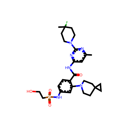 Cc1cc(NC(=O)c2ccc(NS(=O)(=O)CCO)cc2N2CCC3(CC2)CC3)nc(N2CCC(C)(F)CC2)n1